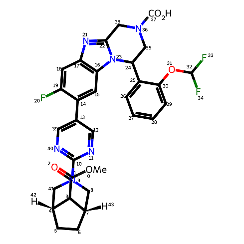 COC(=O)C1[C@@H]2CC[C@H]1CN(c1ncc(-c3cc4c(cc3F)nc3n4C(c4ccccc4OC(F)F)CN(C(=O)O)C3)cn1)C2